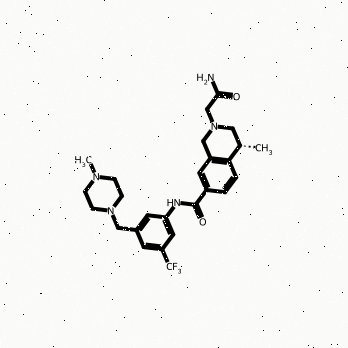 C[C@H]1CN(CC(N)=O)Cc2cc(C(=O)Nc3cc(CN4CCN(C)CC4)cc(C(F)(F)F)c3)ccc21